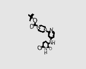 CC(C)(C)OC(=O)N1CCN(c2cc(NC3CCC(=O)NC3=O)ccn2)CC1